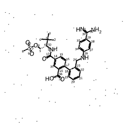 CC(C)(C)[C@@H](COS(C)(=O)=O)NC(=O)c1ccc(-c2ccccc2CNc2ccc(C(=N)N)cc2)c(C(=O)O)c1